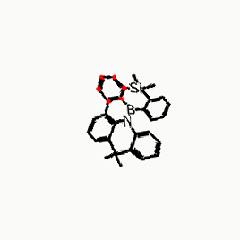 CC1(C)c2ccccc2N(B2c3ccccc3[Si](C)(C)c3ccccc32)c2c(-c3ccccc3)cccc21